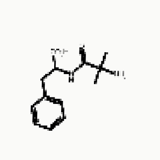 CC(C)(N)C(=O)N[C@@H](Cc1ccccc1)C(=O)O